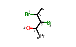 CC(C)C([O])C(Br)C(C)Br